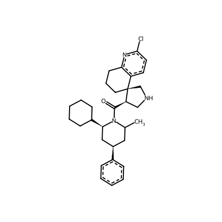 CC1C[C@@H](c2ccccc2)C[C@@H](C2CCCCC2)N1C(=O)[C@@H]1CNC[C@]12CCCc1nc(Cl)ccc12